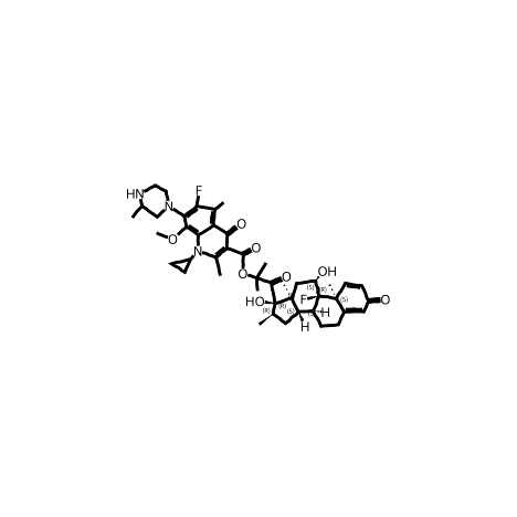 COc1c(N2CCNC(C)C2)c(F)c(C)c2c(=O)c(C(=O)OC(C)(C)C(=O)[C@@]3(O)[C@H](C)C[C@H]4[C@@H]5CCC6=CC(=O)C=C[C@]6(C)[C@@]5(F)[C@@H](O)C[C@@]43C)c(C)n(C3CC3)c12